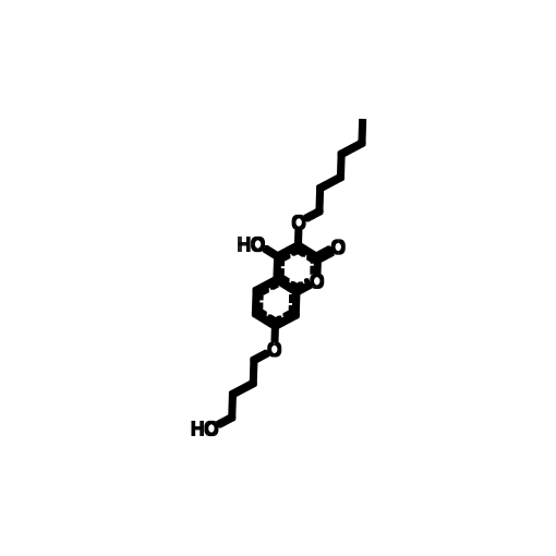 CCCCCCOc1c(O)c2ccc(OCCCCO)cc2oc1=O